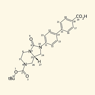 CC(C)(C)OC(=O)N1CCN2C(=O)N(c3ccc(-c4ccc(C(=O)O)cc4)cc3)C[C@@H]2C1